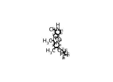 Cc1cc(C(C)N2CC3=C(C=CNC3Cl)C2=O)ncc1OCC(F)(F)C(F)F